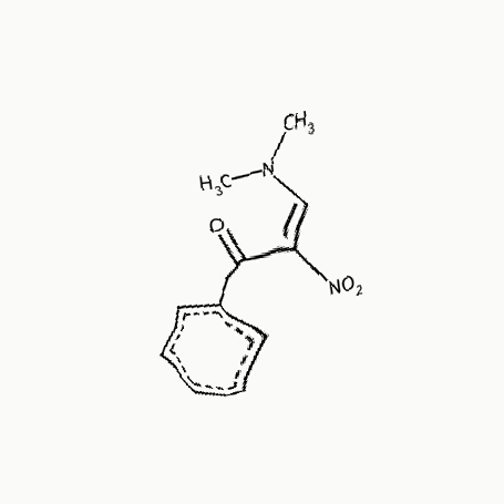 CN(C)/C=C(\C(=O)c1ccccc1)[N+](=O)[O-]